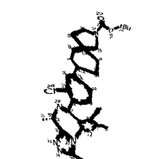 Cc1sc2c(c1C)C(c1ccc(C3CCC4(CC3)CCN(C(=O)OC(C)(C)C)C4)cc1Cl)=N[C@@H](C)c1nnc(C)n1-2